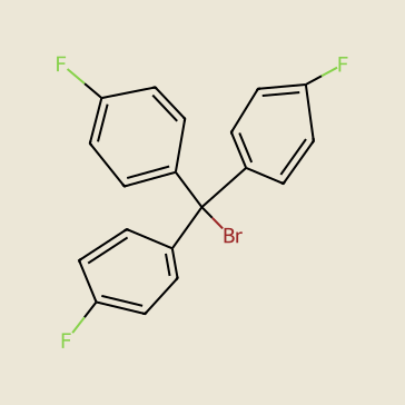 Fc1ccc(C(Br)(c2ccc(F)cc2)c2ccc(F)cc2)cc1